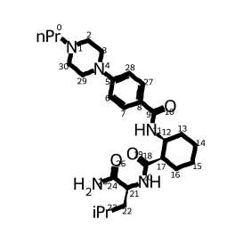 CCCN1CCN(c2ccc(C(=O)N[C@H]3CCCC[C@H]3C(=O)N[C@@H](CC(C)C)C(N)=O)cc2)CC1